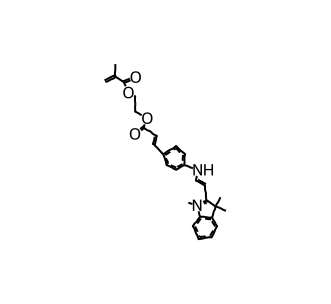 C=C(C)C(=O)OCCOC(=O)/C=C/c1ccc(N/C=C/C2=[N+](C)c3ccccc3C2(C)C)cc1